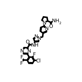 NC(=O)C1CCCN1c1ccc(Cn2cc(NC(=O)c3cncc(-c4c(C(F)F)ccc(Cl)c4F)n3)cn2)cn1